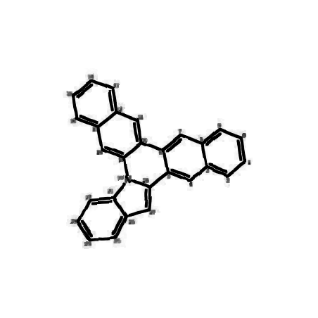 c1ccc2cc3c(cc2c1)c1cc2ccccc2cc1n1c2ccccc2cc31